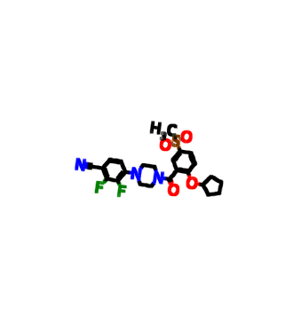 CS(=O)(=O)c1ccc(OC2CCCC2)c(C(=O)N2CCN(c3ccc(C#N)c(F)c3F)CC2)c1